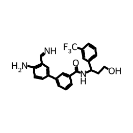 N=Cc1cc(-c2cccc(C(=O)NC(CCO)c3cccc(C(F)(F)F)c3)c2)ccc1N